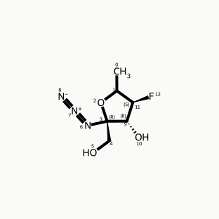 CC1O[C@@](CO)(N=[N+]=[N-])[C@@H](O)[C@@H]1F